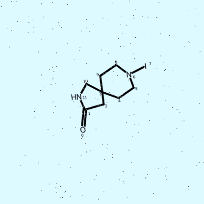 O=C1CC2(CCN(I)CC2)CN1